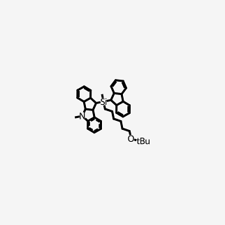 CN1c2ccccc2C2C1C1C=CC=CC1C2[Si](C)(CCCCCCOC(C)(C)C)C1C2C=CC=CC2C2C=CC=CC21